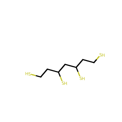 SCCC(S)CC(S)CCS